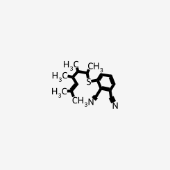 CC(C)=CC(C)C(C)C(C)Sc1cccc(C#N)c1C#N